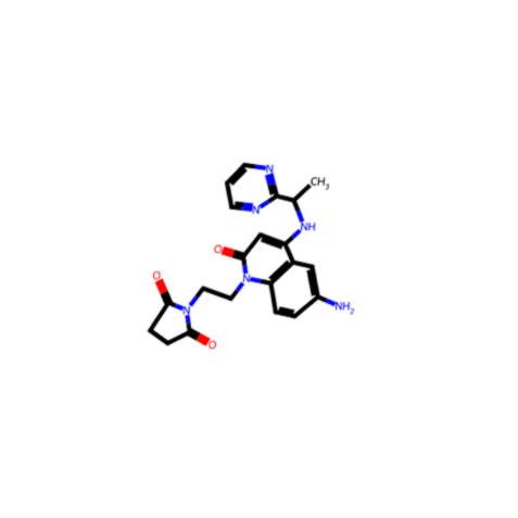 CC(Nc1cc(=O)n(CCN2C(=O)CCC2=O)c2ccc(N)cc12)c1ncccn1